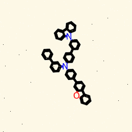 c1ccc(-c2cccc(N(c3ccc(-c4cccc(-n5c6ccccc6c6ccccc65)c4)cc3)c3ccc(-c4ccc5c(c4)oc4ccccc45)cc3)c2)cc1